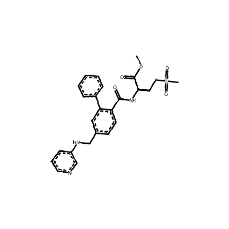 COC(=O)C(CCS(C)(=O)=O)NC(=O)c1ccc(CNc2cccnc2)cc1-c1ccccc1